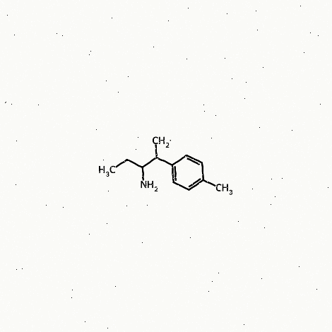 [CH2]C(c1ccc(C)cc1)C(N)CC